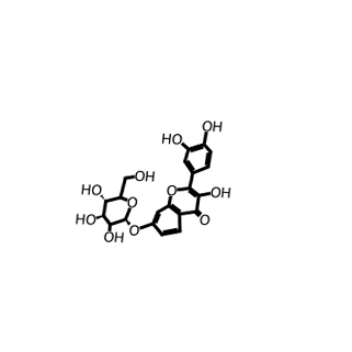 O=c1c(O)c(-c2ccc(O)c(O)c2)oc2cc(O[C@@H]3OC(CO)[C@@H](O)[C@H](O)C3O)ccc12